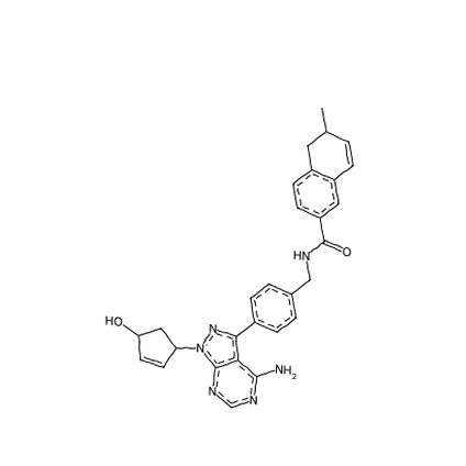 CC1C=Cc2cc(C(=O)NCc3ccc(-c4nn(C5C=CC(O)C5)c5ncnc(N)c45)cc3)ccc2C1